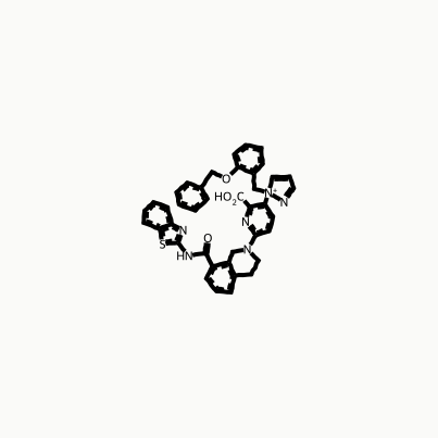 O=C(Nc1nc2ccccc2s1)c1cccc2c1CN(c1ccc([N+]3(Cc4ccccc4OCc4ccccc4)C=CC=N3)c(C(=O)O)n1)CC2